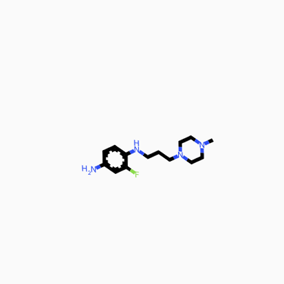 CN1CCN(CCCNc2ccc(N)cc2F)CC1